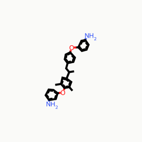 Cc1cc(C(C)Cc2ccc(Oc3cccc(N)c3)cc2)cc(C)c1Oc1cccc(N)c1